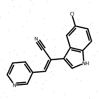 N#CC(=Cc1cccnc1)c1c[nH]c2ccc(Cl)cc12